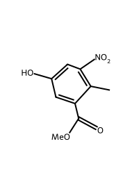 COC(=O)c1cc(O)cc([N+](=O)[O-])c1C